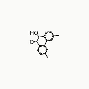 Cc1ccc2c(c1)-c1cc(C)ccc1C(O)C2=O